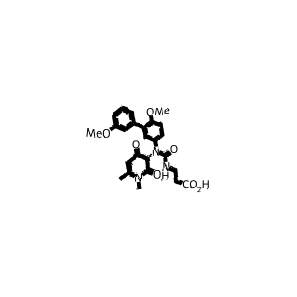 COc1cccc(-c2cc(N(C(=O)NCCC(=O)O)[C@H]3C(=O)C=C(C)N(C)C3=O)ccc2OC)c1